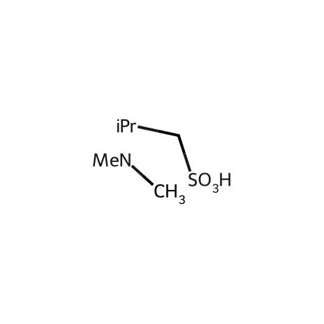 CC(C)CS(=O)(=O)O.CNC